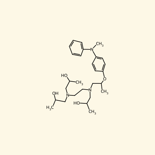 CC(O)CN(CCN(CC(C)O)CC(C)Oc1ccc(N(C)c2ccccc2)cc1)CC(C)O